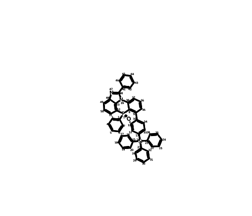 O=P1(c2ccccc2)c2c(-c3ccc([Si](c4ccccc4)(c4ccccc4)c4ccccc4)cc3)cccc2-n2c(-c3ccccc3)nc3cccc1c32